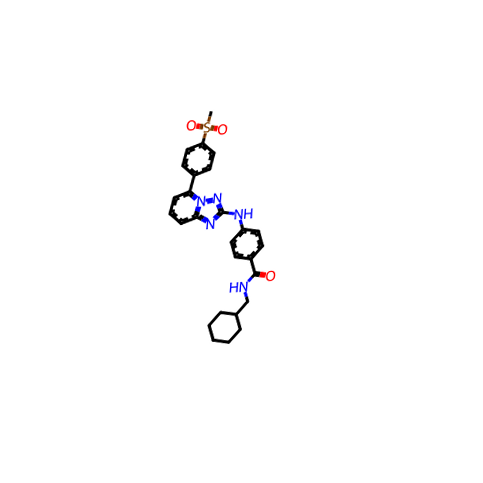 CS(=O)(=O)c1ccc(-c2cccc3nc(Nc4ccc(C(=O)NCC5CCCCC5)cc4)nn23)cc1